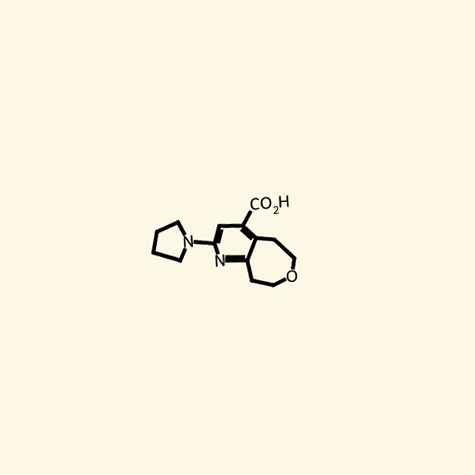 O=C(O)c1cc(N2CCCC2)nc2c1CCOCC2